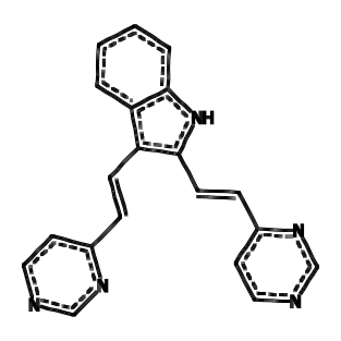 C(=C\c1[nH]c2ccccc2c1/C=C/c1ccncn1)/c1ccncn1